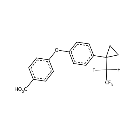 O=C(O)c1ccc(Oc2ccc(C3(C(F)(F)C(F)(F)F)CC3)cc2)cc1